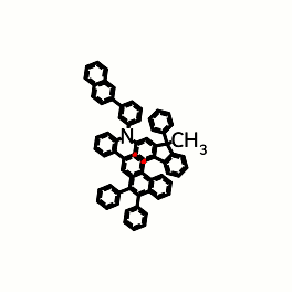 CC1(c2ccccc2)c2ccccc2-c2ccc(N(c3cccc(-c4ccc5ccccc5c4)c3)c3ccccc3-c3ccc4c(c3)c(-c3ccccc3)c(-c3ccccc3)c3ccccc34)cc21